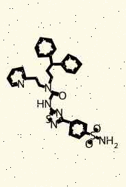 NS(=O)(=O)c1ccc(-c2nsc(NC(=O)N(CCc3ccccn3)CCC(c3ccccc3)c3ccccc3)n2)cc1